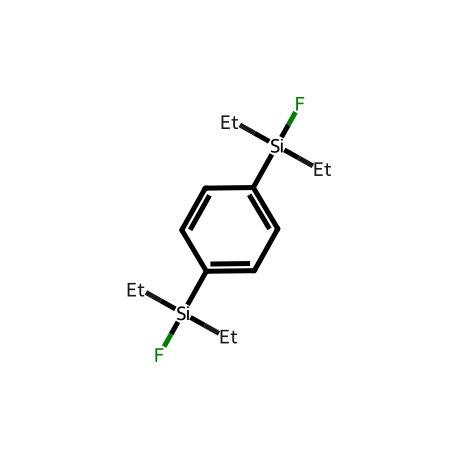 CC[Si](F)(CC)c1ccc([Si](F)(CC)CC)cc1